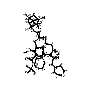 COc1c(C[C@H](NC(=O)Cn2nnc(CN3CCOCC3)c2CN2CCOCC2)B2O[C@@H]3C[C@@H]4C[C@@H](C4(C)C)[C@]3(C)O2)cccc1C(=O)OC(C)(C)C